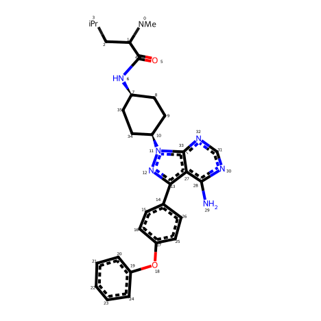 CNC(CC(C)C)C(=O)N[C@H]1CC[C@@H](n2nc(-c3ccc(Oc4ccccc4)cc3)c3c(N)ncnc32)CC1